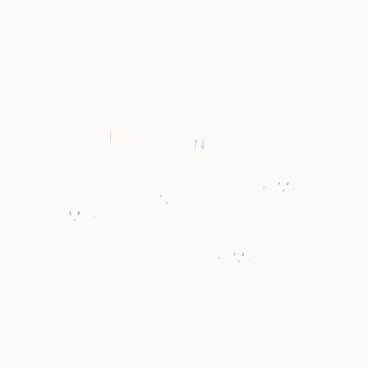 COCN1C(OC)C(OC)N(C)C1O